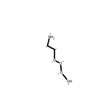 NCCOOOO